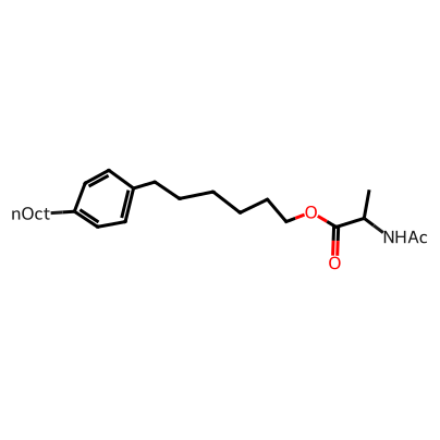 CCCCCCCCc1ccc(CCCCCCOC(=O)C(C)NC(C)=O)cc1